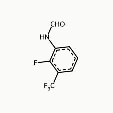 O=[C]Nc1cccc(C(F)(F)F)c1F